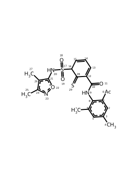 CC(=O)c1cc(C)cc(C)c1NC(=O)C1=CC=CC(S(=O)(=O)Nc2onc(C)c2C)C1=S